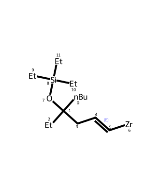 CCCCC(CC)(C/C=[CH]/[Zr])O[Si](CC)(CC)CC